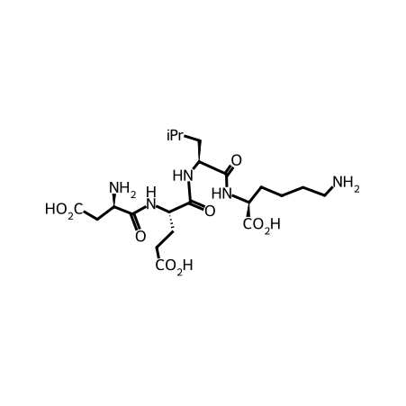 CC(C)C[C@H](NC(=O)[C@H](CCC(=O)O)NC(=O)[C@H](N)CC(=O)O)C(=O)N[C@@H](CCCCN)C(=O)O